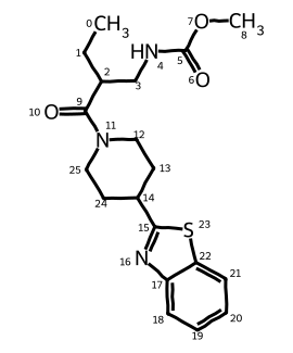 CCC(CNC(=O)OC)C(=O)N1CCC(c2nc3ccccc3s2)CC1